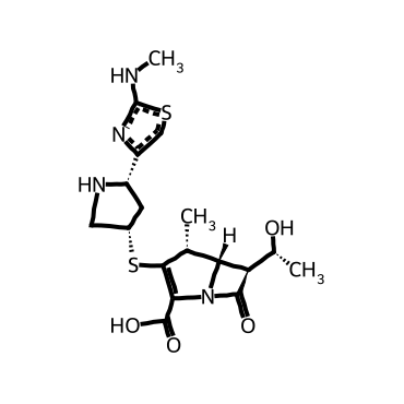 CNc1nc([C@@H]2C[C@H](SC3=C(C(=O)O)N4C(=O)[C@H]([C@@H](C)O)[C@H]4[C@H]3C)CN2)cs1